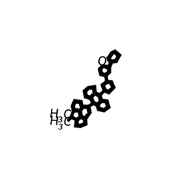 CC1(C)c2cccc3cc(-c4c5ccccc5c(-c5cccc(-c6ccc7oc8ccccc8c7c6)c5)c5ccccc45)c4cccc1c4c23